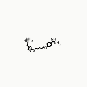 N=C(N)c1ccc(OCCCCCSc2ncc(CCNN)s2)cc1